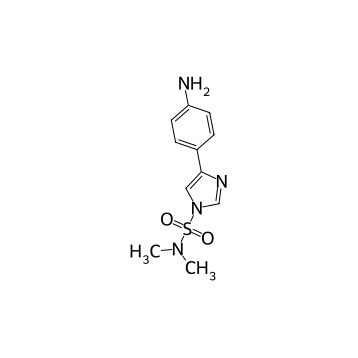 CN(C)S(=O)(=O)n1cnc(-c2ccc(N)cc2)c1